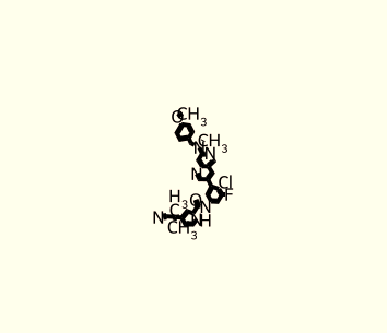 COc1ccc(CN(C)c2cc3ncc(-c4cc(NC(=O)c5cc(C(C)(C)C#N)ccn5)cc(F)c4Cl)cc3cn2)cc1